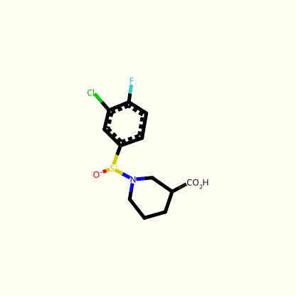 O=C(O)C1CCCN([S+]([O-])c2ccc(F)c(Cl)c2)C1